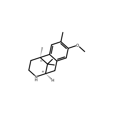 COc1cc2c(cc1C)[C@]1(C)CCN[C@H](C2)C1(C)C